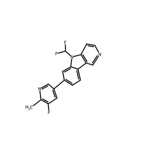 Cc1ncc(-c2ccc3c4cnccc4n(C(F)F)c3c2)cc1F